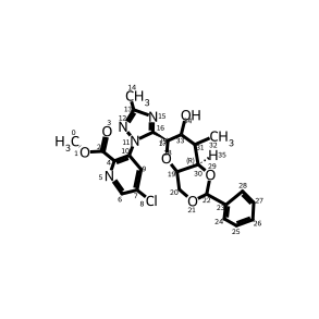 COC(=O)c1ncc(Cl)cc1-n1nc(C)nc1[C@@H]1OC2COC(c3ccccc3)O[C@@H]2C(C)C1O